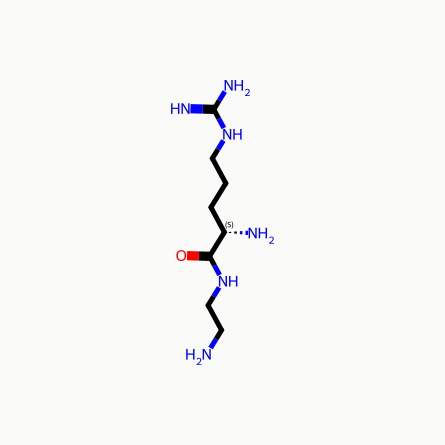 N=C(N)NCCC[C@H](N)C(=O)NCCN